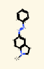 CN1CCc2cc(N=Nc3ccccc3)ccc21